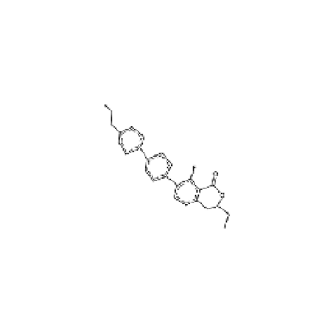 CCCc1ccc(-c2ccc(-c3ccc4c(c3F)C(=O)OC(CC)C4)cc2)cc1